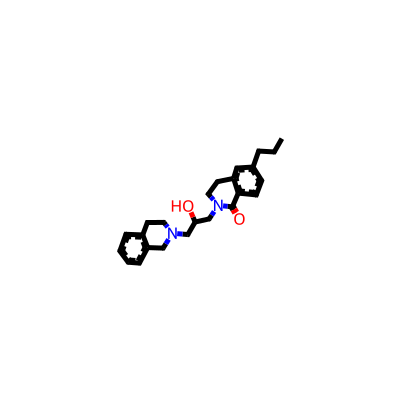 CCCc1ccc2c(c1)CCN(CC(O)CN1CCc3ccccc3C1)C2=O